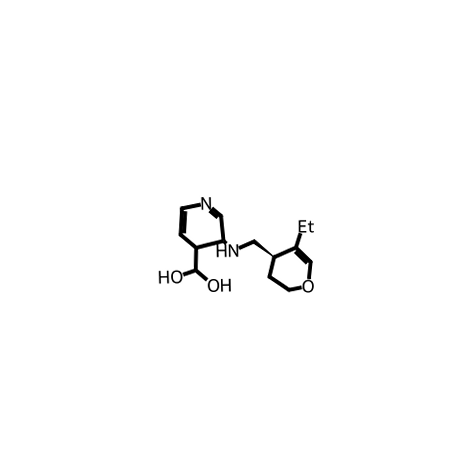 CCC1=COCC[C@H]1CNC1C=NC=CC1C(O)O